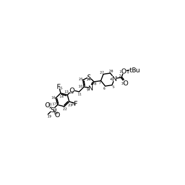 CC(C)(C)OC(=O)N1CCC(c2nc(COc3c(F)cc(S(C)(=O)=O)cc3F)cs2)CC1